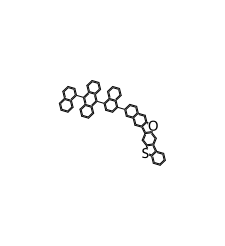 c1ccc2c(-c3c4ccccc4c(-c4ccc(-c5ccc6cc7oc8cc9c(cc8c7cc6c5)sc5ccccc59)c5ccccc45)c4ccccc34)cccc2c1